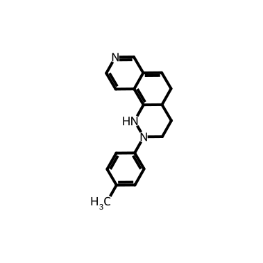 Cc1ccc(N2CCC3CC=c4cnccc4=C3N2)cc1